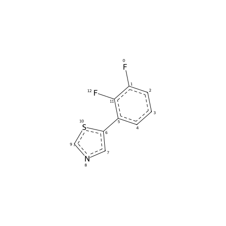 Fc1cccc(-c2cn[c]s2)c1F